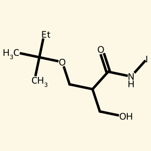 CCC(C)(C)OCC(CO)C(=O)NI